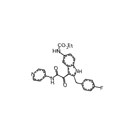 CCOC(=O)Nc1ccc2[nH]c(Cc3ccc(F)cc3)c(C(=O)C(=O)Nc3ccncc3)c2c1